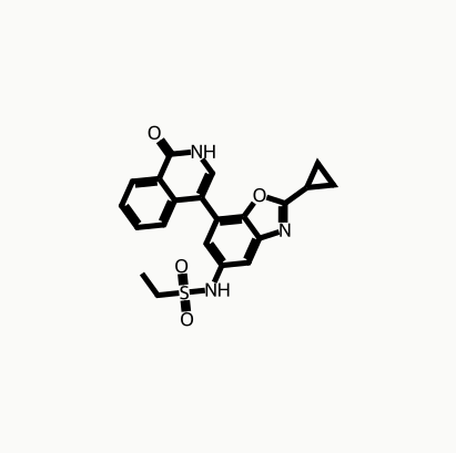 CCS(=O)(=O)Nc1cc(-c2c[nH]c(=O)c3ccccc23)c2oc(C3CC3)nc2c1